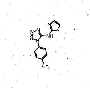 FC(F)(F)c1ccc(-n2nnnc2Nc2nccs2)cc1